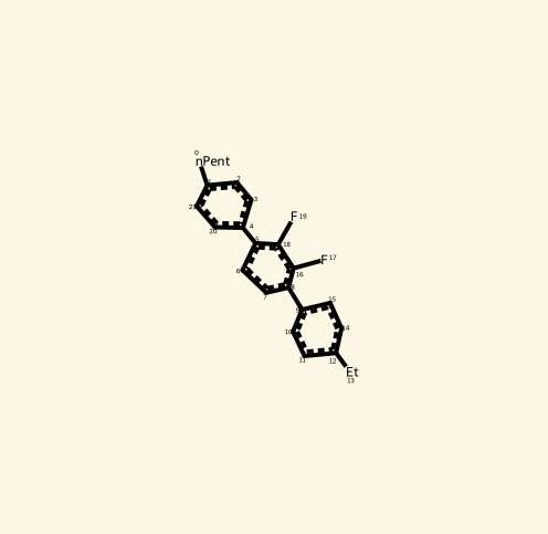 CCCCCc1ccc(-c2ccc(-c3ccc(CC)cc3)c(F)c2F)cc1